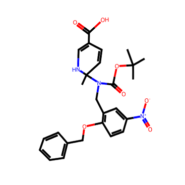 CC(C)(C)OC(=O)N(Cc1cc([N+](=O)[O-])ccc1OCc1ccccc1)C1(C)C=CC(C(=O)O)=CN1